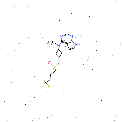 CN(c1ncnc2[nH]ccc12)[C@H]1C[C@@H](C[S+]([O-])CCCC(F)(F)F)C1